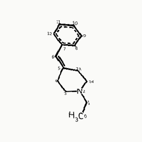 CCN1CCC(=Cc2ccccc2)CC1